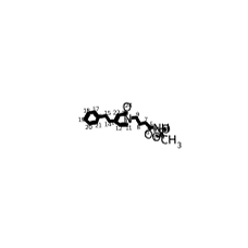 CS(=O)(=O)NC(=O)CCCn1ccc(CCc2ccccc2)cc1=O